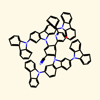 N#Cc1cc(-n2c3cc(-n4c5ccccc5c5ccccc54)ccc3c3ccc(-n4c5ccccc5c5ccccc54)cc32)c(-c2cccc(-c3ccccc3)n2)cc1-n1c2cc(-n3c4ccccc4c4ccccc43)ccc2c2ccc(-n3c4ccccc4c4ccccc43)cc21